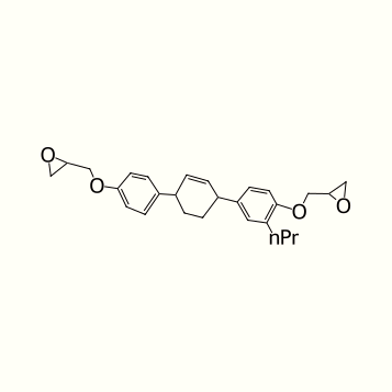 CCCc1cc(C2C=CC(c3ccc(OCC4CO4)cc3)CC2)ccc1OCC1CO1